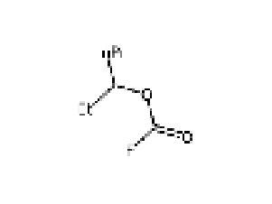 CCCC(CC)OC(=O)F